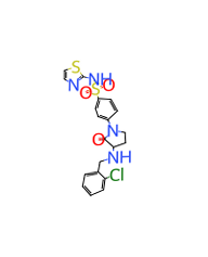 O=C1C(NCc2ccccc2Cl)CCN1c1ccc(S(=O)(=O)Nc2nccs2)cc1